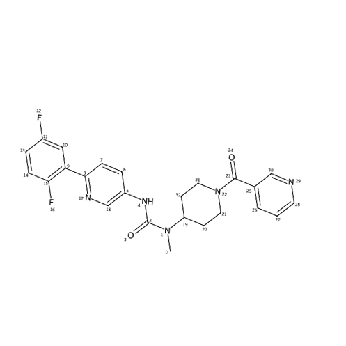 CN(C(=O)Nc1ccc(-c2cc(F)ccc2F)nc1)C1CCN(C(=O)c2cccnc2)CC1